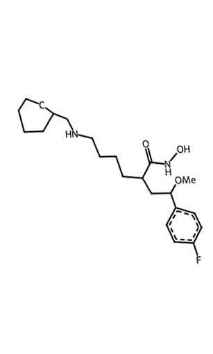 COC(CC(CCCCNCC1CCCCC1)C(=O)NO)c1ccc(F)cc1